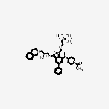 CC(=O)N1CCC(Nc2cc(-c3ccccc3)cc3c(NC[C@H](O)CN4CCc5ccccc5C4)nn(COCC[Si](C)(C)C)c23)CC1